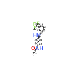 C=CC(=O)NC1CC2(CC(NCc3cccc(C(F)(F)F)c3)C2)C1